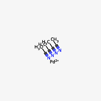 CC#N.CC#N.CC#N.CC#N.[Pd+2]